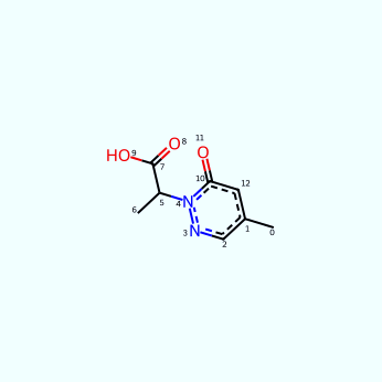 Cc1cnn(C(C)C(=O)O)c(=O)c1